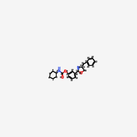 O=C(NC1CCCCC1)Oc1cccc(C2=N[C@@H](Cc3ccccc3)CO2)c1